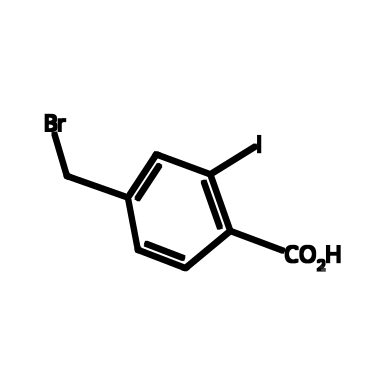 O=C(O)c1ccc(CBr)cc1I